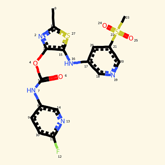 Cc1nc(OC(=O)Nc2ccc(F)nc2)c(Nc2cncc(S(C)(=O)=O)c2)s1